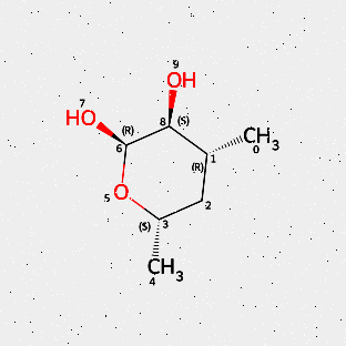 C[C@@H]1C[C@H](C)O[C@@H](O)[C@H]1O